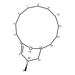 C[C@H]1C=C2CCCCCCCCCCC(C1)O2